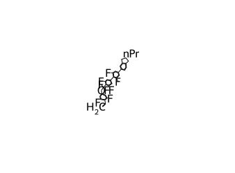 C=Cc1c(F)cc(OC(F)(F)c2c(F)cc(-c3c(F)cc(-c4ccc5c(c4)CC(CCC)C5)cc3F)cc2F)cc1F